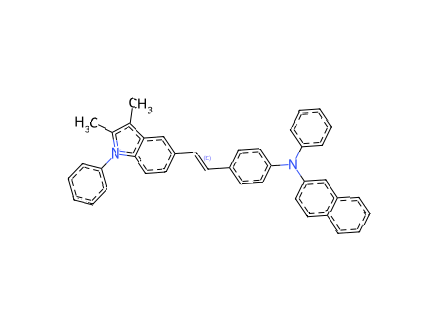 Cc1c(C)n(-c2ccccc2)c2ccc(/C=C/c3ccc(N(c4ccccc4)c4ccc5ccccc5c4)cc3)cc12